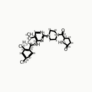 COc1cnc(N2CCN(C(=O)C3CCC(=O)N3)CC2)nc1N[C@H](C)c1ccc(Cl)cc1Cl